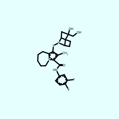 Cc1c(SN2C3CCC34C2CC4(O)CO)c2n(c1C(=O)Nc1ccc(F)c(F)c1)CCCCC2